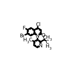 Cc1ccnc(C(C)C)c1-n1c(=O)cc(Cl)c2cc(F)c(Br)cc21